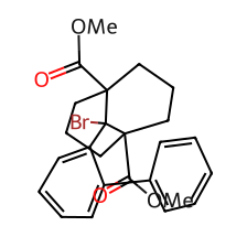 COC(=O)C12CCCC(C(=O)OC)(CCC1)C2(Br)c1ccccc1-c1ccccc1